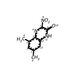 Cc1cc(C)c2nc([N+](=O)[O-])c(=O)[nH]c2c1